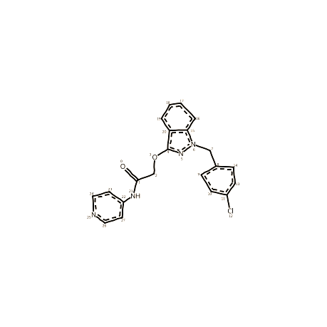 O=C(COc1nn(Cc2ccc(Cl)cc2)c2ccccc12)Nc1ccncc1